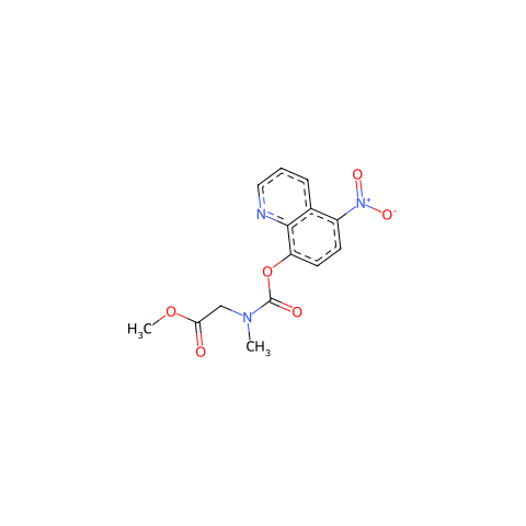 COC(=O)CN(C)C(=O)Oc1ccc([N+](=O)[O-])c2cccnc12